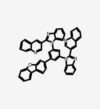 c1ccc2ncc(-c3nc4ccccc4n3-c3cc(-c4ccc5c(c4)oc4ccccc45)cc(-n4c(-c5cnc6ccccc6c5)nc5ccccc54)c3)cc2c1